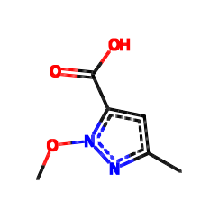 COn1nc(C)cc1C(=O)O